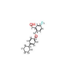 OCc1cc(F)ccc1COc1ccc(C2CCCCC2)cc1